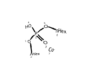 CCCCCCOP(=O)(O)OCCCCCC.[Co]